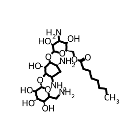 CCCCCCCC(=O)OC[C@H]1OC(OC2[C@@H](O)C(O[C@H]3OC(CN)[C@@H](O)[C@H](O)C3O)C(N)C[C@H]2N)[C@H](O)C(N)[C@@H]1O